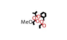 C=C(C)C(=O)OC(=O)C(=C)OC.C=CC(=O)OCc1ccccc1